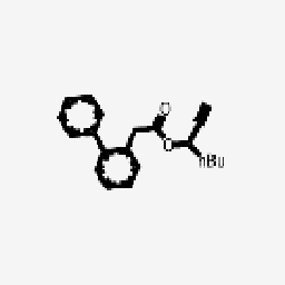 C#CC(CCCC)OC(=O)Cc1ccccc1-c1ccccc1